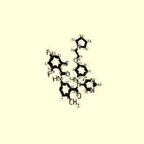 Cc1ccc(NC(=O)c2c(F)cc(F)cc2F)cc1C(=O)N(Nc1cccc(OCCN2CCCC2)c1)c1cncnc1